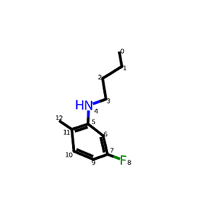 CCCCNc1cc(F)ccc1C